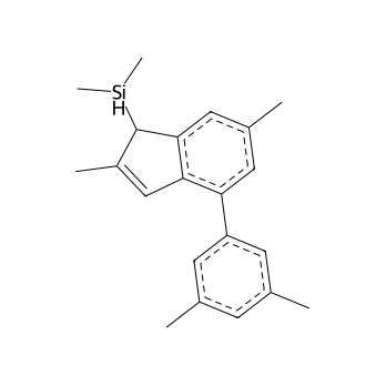 CC1=Cc2c(-c3cc(C)cc(C)c3)cc(C)cc2C1[SiH](C)C